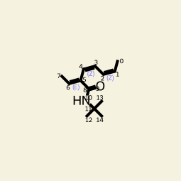 C\C=C/C=C\C(=C/C)C(=O)NC(C)(C)C